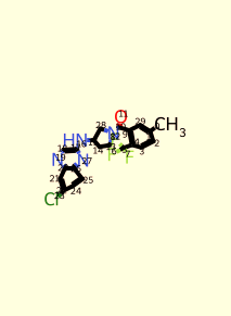 Cc1ccc(C(F)(F)F)c(C(=O)N2CCC(Nc3cnc4cc(Cl)ccc4n3)C2)c1